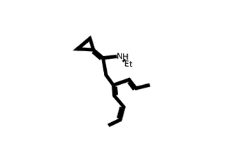 C\C=C/C=C(\C=C\C)CC(NCC)=C1CC1